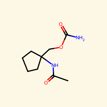 CC(=O)NC1(COC(N)=O)CCCC1